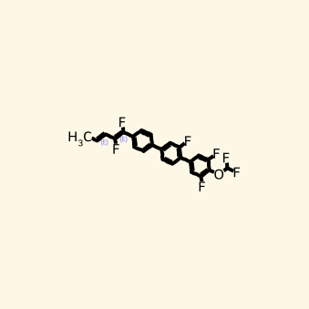 C/C=C/C(F)=C(\F)c1ccc(-c2ccc(-c3cc(F)c(OC(F)F)c(F)c3)c(F)c2)cc1